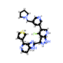 Fc1c(-c2cncc(CN3CCCC3)c2)cnc2[nH]nc(-c3nc4c(-c5ccsc5)nccc4[nH]3)c12